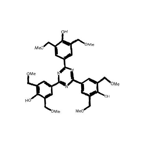 COCc1cc(-c2nc(-c3cc(COC)c(O)c(COC)c3)nc(-c3cc(COC)c(O)c(COC)c3)n2)cc(COC)c1O